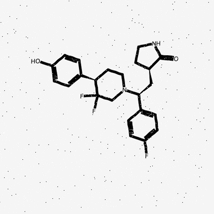 O=C1NCC[C@@H]1C[C@@H](c1ccc(F)cc1)N1CC[C@H](c2ccc(O)cc2)C(F)(F)C1